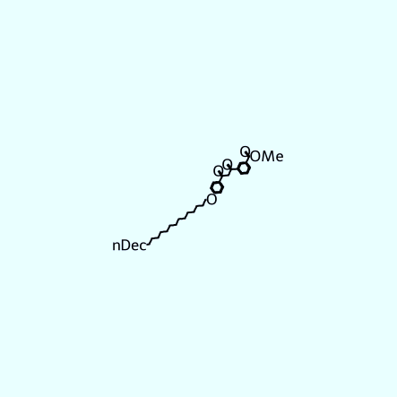 CCCCCCCCCCCCCCCCCCCCCCCCOc1ccc(C(=O)CC(=O)c2cccc(C(=O)OC)c2)cc1